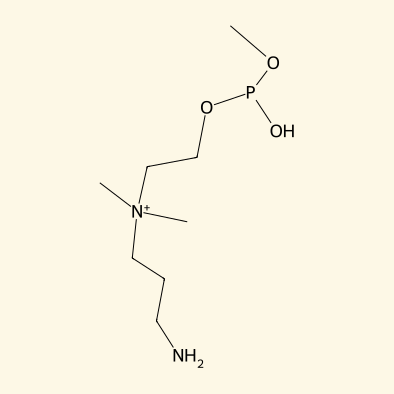 COP(O)OCC[N+](C)(C)CCCN